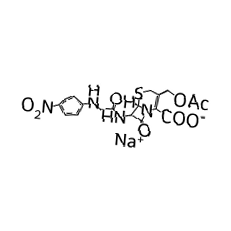 CC(=O)OCC1=C(C(=O)[O-])N2C(=O)C(NC(=O)CNc3ccc([N+](=O)[O-])cc3)[C@@H]2SC1.[Na+]